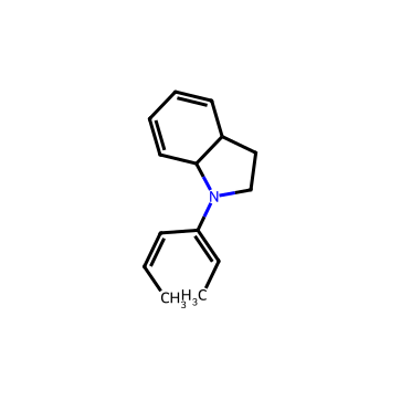 C/C=C\C(=C/C)N1CCC2C=CC=CC21